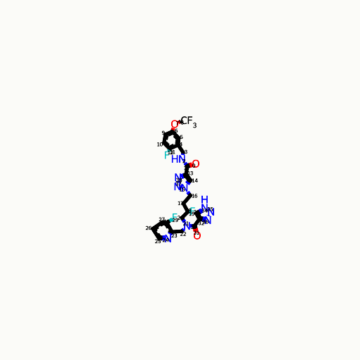 O=C(NCc1cc(OC(F)(F)F)ccc1F)c1cn(CCC(F)CN(Cc2ncccc2F)C(=O)c2c[nH]nn2)nn1